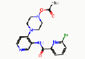 CC(C)(C)C(=O)ON1CCN(c2ccncc2NC(=O)c2cccc(Br)n2)CC1